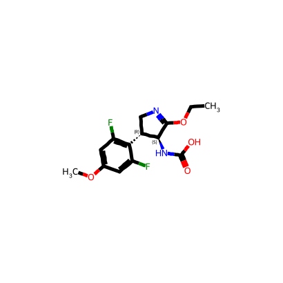 CCOC1=NC[C@@H](c2c(F)cc(OC)cc2F)[C@@H]1NC(=O)O